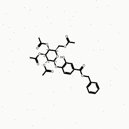 CC(=O)OC[C@H]1O[C@@H](Oc2ccc(C(=O)OCc3ccccc3)cc2O)[C@H](OC(C)=O)[C@@H](OC(C)=O)[C@H]1OC(C)=O